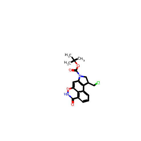 CC(C)(C)OC(=O)N1CC(CCl)c2c1cc1c3c(cccc23)C(=O)NO1